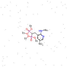 CCCCNc1ncc([N+](=O)[O-])cc1CC(P(=O)(OCC)OCC)P(=O)(OCC)OCC